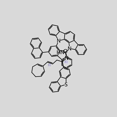 N=C(/N=C(\C/C=C/C1=CCCCC=C1)c1ccc2sc3ccccc3c2c1)n1c2ccccc2c2ccc3c4ccccc4n(-c4cc(-c5cccc6ccccc56)cc5c4oc4ccccc45)c3c21